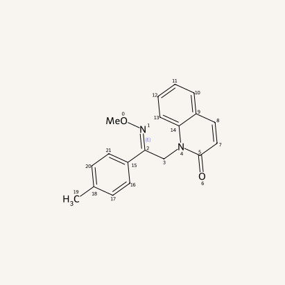 CO/N=C(/Cn1c(=O)ccc2ccccc21)c1ccc(C)cc1